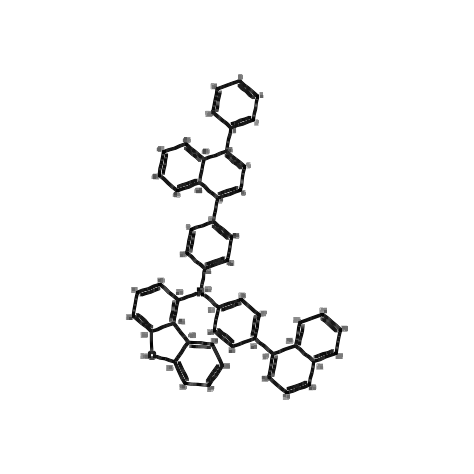 c1ccc(-c2ccc(-c3ccc(N(c4ccc(-c5cccc6ccccc56)cc4)c4cccc5oc6ccccc6c45)cc3)c3ccccc23)cc1